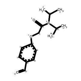 CC(C)N(C(=O)COc1ccc([C]=O)cc1)C(C)C